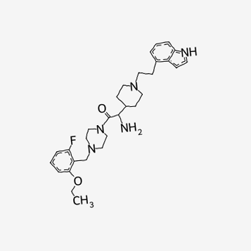 CCOc1cccc(F)c1CN1CCN(C(=O)C(N)C2CCN(CCc3cccc4[nH]ccc34)CC2)CC1